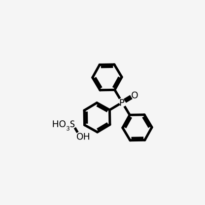 O=P(c1ccccc1)(c1ccccc1)c1ccccc1.O=S(=O)(O)O